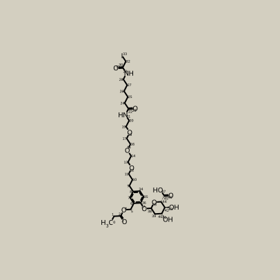 CCC(=O)OCc1cc(CCCOCCOCCOCCNC(=O)CCCCCNC(=O)CI)ccc1OC1C[C@@H](O)[C@H](O)[C@@H](C(=O)O)O1